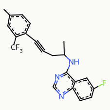 Cc1ccc(C#CCC(C)Nc2ncnc3ccc(F)cc23)c(C(F)(F)F)c1